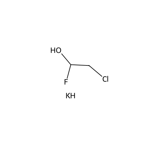 OC(F)CCl.[KH]